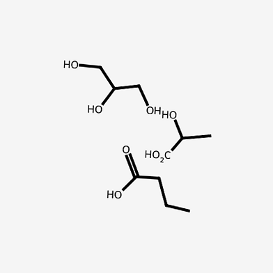 CC(O)C(=O)O.CCCC(=O)O.OCC(O)CO